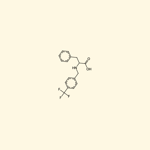 O=C(O)C(Cc1ccccc1)NCc1ccc(C(F)(F)F)cc1